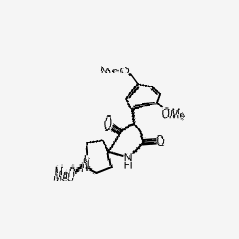 COc1ccc(OC)c(C2C(=O)NC3(CCN(OC)CC3)C2=O)c1